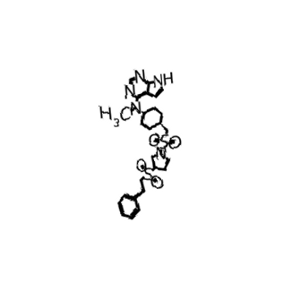 CN(c1ncnc2[nH]ccc12)[C@H]1CC[C@H](CS(=O)(=O)N2CCC(S(=O)(=O)CCc3ccccc3)C2)CC1